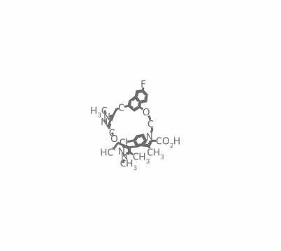 C#CC1OCc2cc(n(C)n2)CCc2cc(c3ccc(F)cc3c2)OCCCn2c(C(=O)O)c(C)c3c(c(Cl)ccc32)-c2c1nn(C)c2C